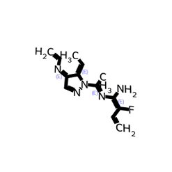 C=C/N=C1/C=NN(/C(C)=N/C(N)=C(/F)C=C)/C1=C/C